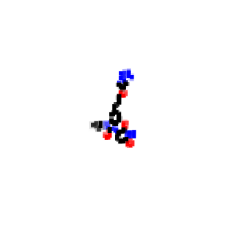 Cn1c(=O)n(C2CCC(=O)NC2=O)c2ccc(CCCOC3CN(N)C3)cc21